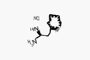 Cl.N=C(N)Cc1ccccn1